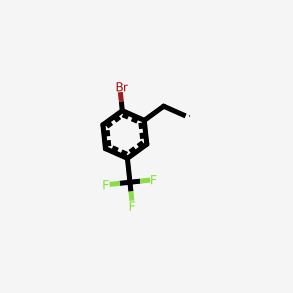 [CH2]Cc1cc(C(F)(F)F)ccc1Br